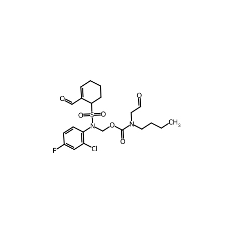 CCCCN(CC=O)C(=O)OCN(c1ccc(F)cc1Cl)S(=O)(=O)C1CCCC=C1C=O